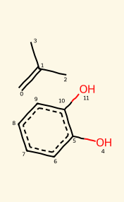 C=C(C)C.Oc1ccccc1O